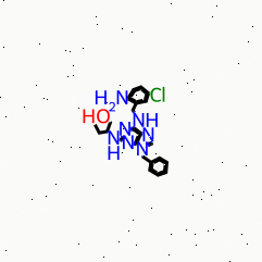 CCC(CO)Nc1nc(NCc2cc(Cl)ccc2N)c2ncn(Cc3ccccc3)c2n1